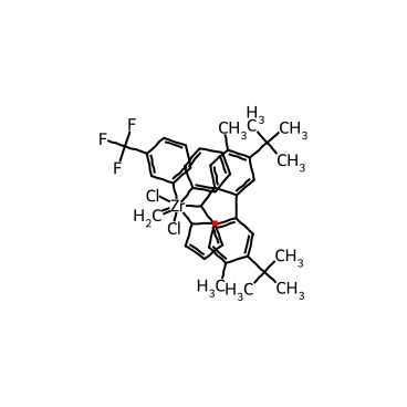 [CH2]=[Zr]([Cl])([Cl])([c]1ccccc1)([c]1cccc(C(F)(F)F)c1)([CH]1C=CC=C1)[CH]1c2cc(C)c(C(C)(C)C)cc2-c2cc(C(C)(C)C)c(C)cc21